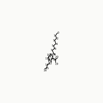 CCCCCCCCC[n+]1ccn(CCCC)c1C(C)C